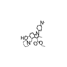 CCOC(=O)c1c(C)n(-c2ccc(N(C)C)cc2)c2ccc(O)c(CN3CCCCC3)c12